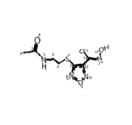 CC(=O)NCCSc1nonc1C(Cl)=NO